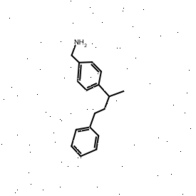 CC(CCc1ccccc1)c1ccc(CN)cc1